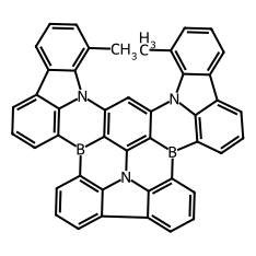 Cc1cccc2c3cccc4c3n(c12)-c1cc2c3c5c1B4c1cccc4c6cccc(c6n-5c14)B3c1cccc3c4cccc(C)c4n-2c13